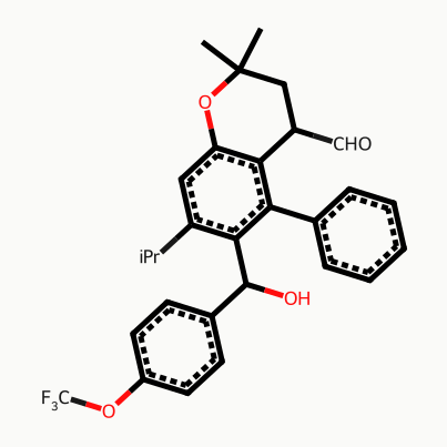 CC(C)c1cc2c(c(-c3ccccc3)c1C(O)c1ccc(OC(F)(F)F)cc1)C(C=O)CC(C)(C)O2